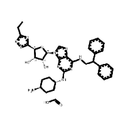 CCc1nnc([C@H]2O[C@@H](n3cnc4c(NCC(c5ccccc5)c5ccccc5)nc(N[C@H]5CC[C@H](N)CC5)nc43)[C@H](O)[C@@H]2O)o1.O=CO